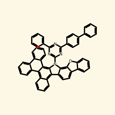 c1ccc(-c2ccc(-c3nc(-c4ccccc4)nc(-n4c5c(ccc6c7ccccc7oc65)c5c6ccccc6c6c7ccccc7c7ccccc7c6c54)n3)cc2)cc1